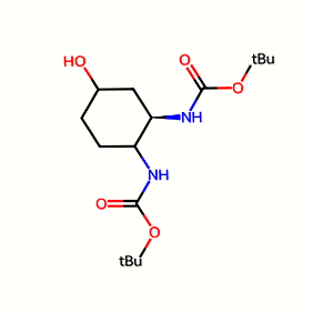 CC(C)(C)OC(=O)NC1CCC(O)C[C@H]1NC(=O)OC(C)(C)C